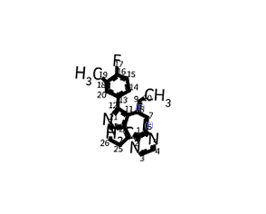 C=c1nccn/c1=C/C(=C\C)c1c(-c2ccc(F)c(C)c2)nn2c1CCC2